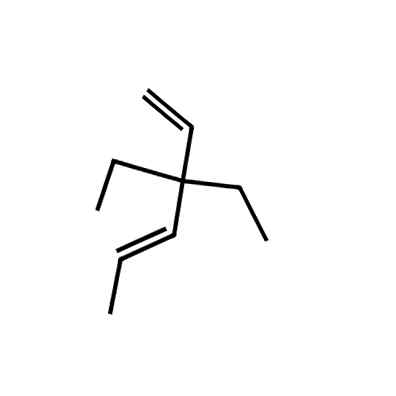 C=CC(C=CC)(CC)CC